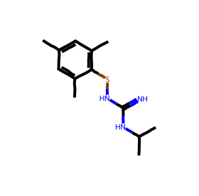 Cc1cc(C)c(SNC(=N)NC(C)C)c(C)c1